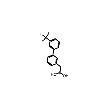 OB(O)Cc1cccc(-c2cccc(C(F)(F)F)c2)c1